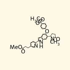 COC(=O)CCc1ccc(-c2cc3cc(Oc4ccc(S(C)(=O)=O)cc4)c(C4CCC(=O)N4C)cc3[nH]2)nc1